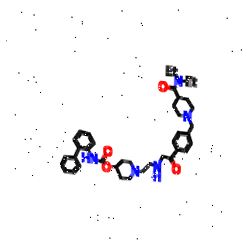 CCN(CC)C(=O)C1CCN(Cc2ccc(C(=O)CNCCN3CCC(OC(=O)Nc4ccccc4-c4ccccc4)CC3)cc2)CC1